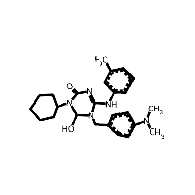 CN(C)c1ccc(CN2C(Nc3cccc(C(F)(F)F)c3)=NC(=O)N(C3CCCCC3)C2O)cc1